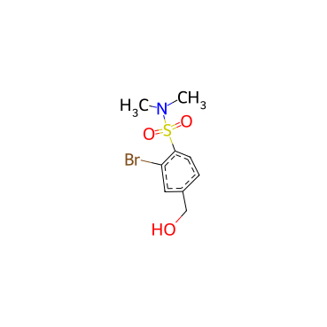 CN(C)S(=O)(=O)c1ccc(CO)cc1Br